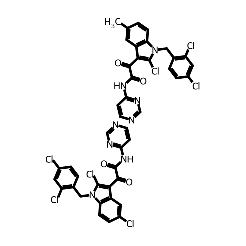 Cc1ccc2c(c1)c(C(=O)C(=O)Nc1ccncn1)c(Cl)n2Cc1ccc(Cl)cc1Cl.O=C(Nc1ccncn1)C(=O)c1c(Cl)n(Cc2ccc(Cl)cc2Cl)c2ccc(Cl)cc12